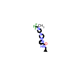 CC(N1CCC(N2CCCN(c3cccc(C(=O)NCC4CC4)n3)CC2)CC1)C(F)(F)F